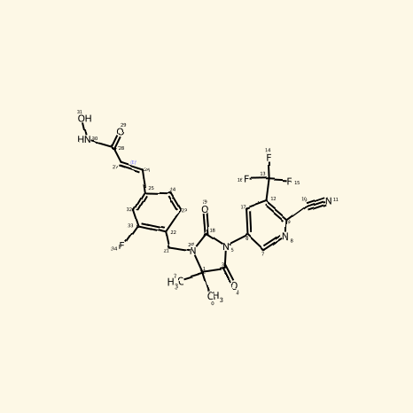 CC1(C)C(=O)N(c2cnc(C#N)c(C(F)(F)F)c2)C(=O)N1Cc1ccc(/C=C/C(=O)NO)cc1F